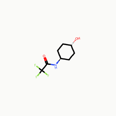 O=C(N[C@H]1CC[C@H](O)CC1)C(F)(F)F